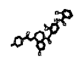 COc1cc(NC(=O)c2ccccc2Cl)ccc1C(=O)N1CCCC(CC(=O)N2CCN(C)CC2)c2cc(Cl)ccc21